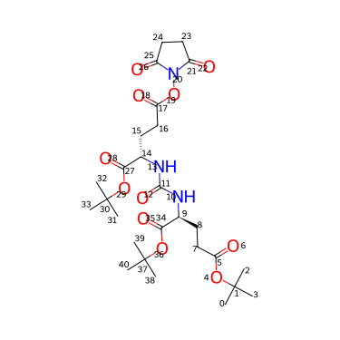 CC(C)(C)OC(=O)CC[C@H](NC(=O)N[C@@H](CCC(=O)ON1C(=O)CCC1=O)C(=O)OC(C)(C)C)C(=O)OC(C)(C)C